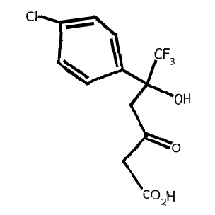 O=C(O)CC(=O)CC(O)(c1ccc(Cl)cc1)C(F)(F)F